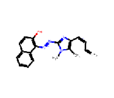 C=C/C=C\c1nc(/N=N/c2c(O)ccc3ccccc23)n(C)c1C